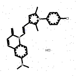 C=C1C=Cc2cc(N(C)C)ccc2N1/C=C/c1cc(C)n(-c2ccc(Cl)cc2)c1C.Cl